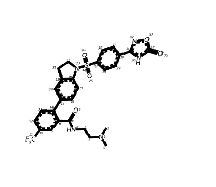 CN(C)CCNC(=O)c1cc(C(F)(F)F)ccc1-c1ccc2c(c1)CCN2S(=O)(=O)c1ccc(-c2noc(=O)[nH]2)cc1